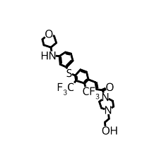 O=C(C=Cc1ccc(Sc2cccc(NC3CCOCC3)c2)c(C(F)(F)F)c1C(F)(F)F)N1CCN(CCO)CC1